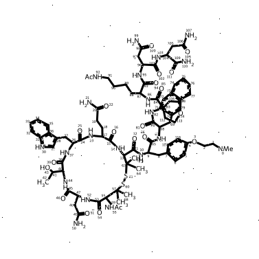 CNCCOc1ccc(CC(NC(=O)C2NC(=O)C(CCC(N)=O)NC(=O)C(Cc3c[nH]c4ccccc34)NC(=O)C(C(C)O)NC(=O)C(CC(N)=O)NC(=O)C(NC(C)=O)C(C)(C)SSC2(C)C)C(=O)NC(Cc2ccc3ccccc3c2)C(=O)NC2(C(=O)NC(CCCCNC(C)=O)C(=O)NC(CC(N)=O)C(=O)NC(CC(N)=O)C(N)=O)CCOCC2)cc1